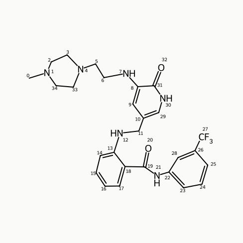 CN1CCN(CCNc2cc(CNc3ccccc3C(=O)Nc3cccc(C(F)(F)F)c3)c[nH]c2=O)CC1